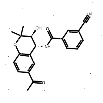 CC(=O)c1ccc2c(c1)[C@@H](NC(=O)c1cccc(C#N)c1)[C@H](O)C(C)(C)O2